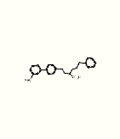 COc1cccc(-c2ccc(CCC(CCCc3ccccc3)C(=O)O)cc2)c1